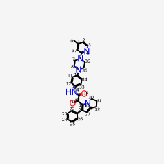 Cc1ccnc(N2CCN(c3ccc(NC(=O)C(=O)c4c(-c5ccccc5)cc5n4CCC5)cc3)CC2)c1